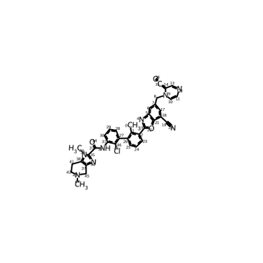 Cc1c(-c2nc3cc(CN4C=CN=CC4=C=O)cc(C#N)c3o2)cccc1-c1cccc(NC(=O)c2nc3c(n2C)CCN(C)C3)c1Cl